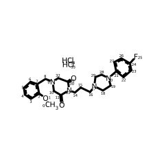 COc1ccccc1CN1CC(=O)N(CCCN2CCN(c3ccc(F)cc3)CC2)C(=O)C1.Cl.Cl